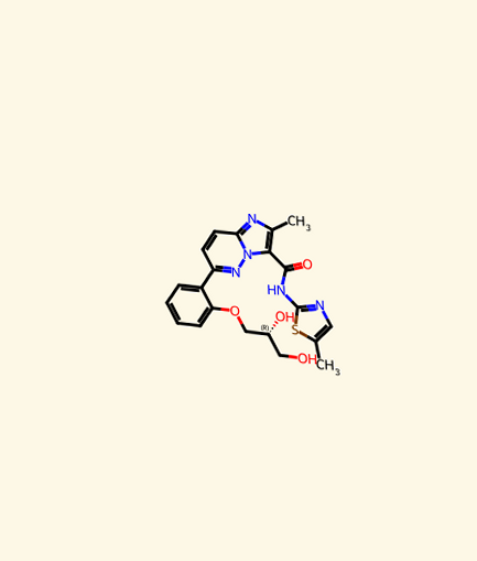 Cc1cnc(NC(=O)c2c(C)nc3ccc(-c4ccccc4OC[C@H](O)CO)nn23)s1